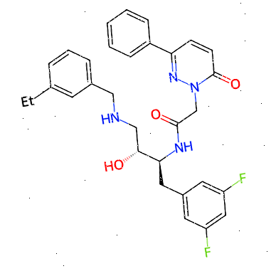 CCc1cccc(CNC[C@@H](O)[C@H](Cc2cc(F)cc(F)c2)NC(=O)Cn2nc(-c3ccccc3)ccc2=O)c1